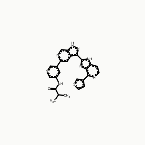 CC(C)C(=O)Nc1cncc(-c2cc3c(-c4nc5c(-c6ccoc6)nccc5[nH]4)n[nH]c3cn2)c1